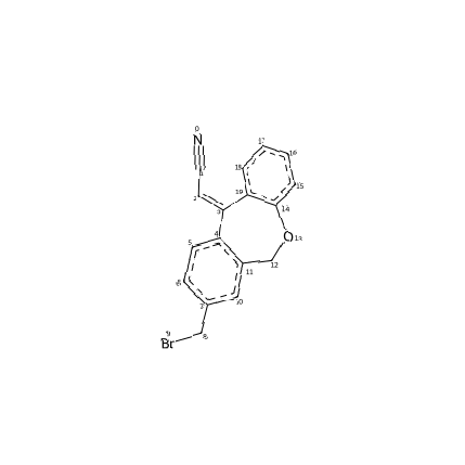 N#CC=C1c2ccc(CBr)cc2COc2ccccc21